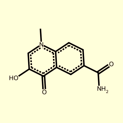 Cn1cc(O)c(=O)c2cc(C(N)=O)ccc21